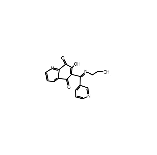 CCCN=C(C1=C(O)C(=O)c2ncccc2C1=O)c1cccnc1